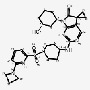 O=C1N([C@@H]2CCC[C@@H](O)C2)c2nc(NC3CCN(S(=O)(=O)c4cccc(N5CCC5)n4)CC3)ncc2C12CC2